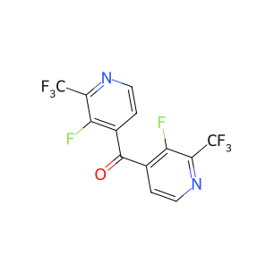 O=C(c1ccnc(C(F)(F)F)c1F)c1ccnc(C(F)(F)F)c1F